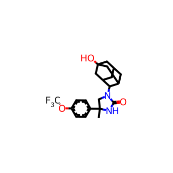 CC1(c2ccc(OC(F)(F)F)cc2)CN(C2C3CC4CC2CC(O)(C4)C3)C(=O)N1